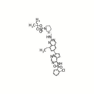 CCc1cc(-c2ccc3c(NS(=O)(=O)c4ccccc4Cl)ncnn23)cc2cnc(NC[C@H]3CCCN(C(=O)OC(C)(C)C)C3)nc12